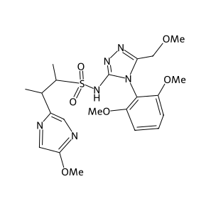 COCc1nnc(NS(=O)(=O)C(C)C(C)c2cnc(OC)cn2)n1-c1c(OC)cccc1OC